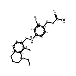 CCN1CCCc2ccc(CNc3ccc(CCC(=O)O)c(F)c3)c(C)c21